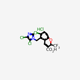 Cl.O=C(O)C1=Cc2c(ccc(Cl)c2Cn2cnc(Cl)c2Cl)OC1C(F)(F)F